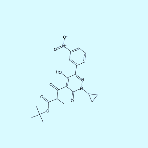 CC(C(=O)OC(C)(C)C)C(=O)c1c(O)c(-c2cccc([N+](=O)[O-])c2)nn(C2CC2)c1=O